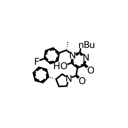 CCCCc1nc(=O)c(C(=O)N2CC[C@H](c3ccccc3)C2)c(O)n1[C@@H](C)c1ccc(F)cc1